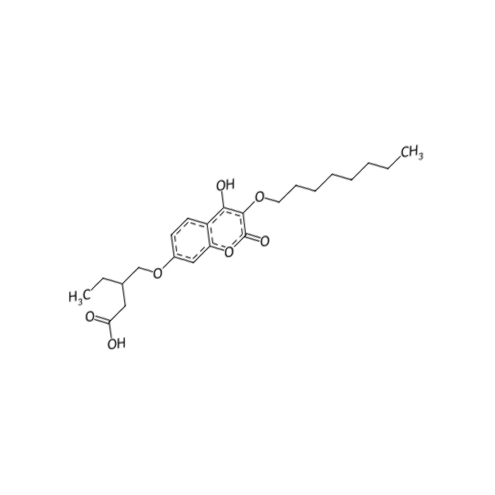 CCCCCCCCOc1c(O)c2ccc(OCC(CC)CC(=O)O)cc2oc1=O